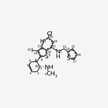 CN[C@@H]1CC=CC[C@H]1c1sc2c(NCc3cccs3)cc(Cl)nc2c1I